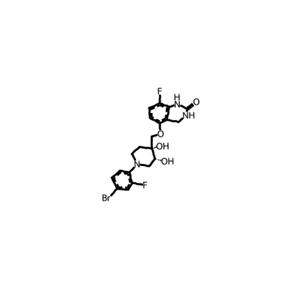 O=C1NCc2c(OC[C@]3(O)CCN(c4ccc(Br)cc4F)C[C@H]3O)ccc(F)c2N1